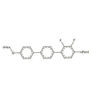 CCCCCCOc1ccc(-c2ccc(-c3ccc(CCCCC)c(F)c3F)cc2)cc1